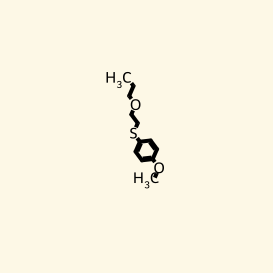 CCCOCCSc1ccc(OC)cc1